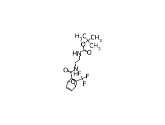 CC(C)(C)OC(=O)NCCNC(=O)C1=C(C(F)(F)F)C2C=CC1O2